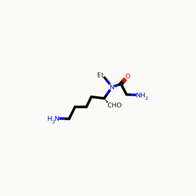 CCN(C(=O)CN)[C@H]([C]=O)CCCCN